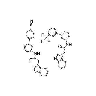 N#Cc1ccc(-c2cccc(NC(=O)Cn3cnc4ccccc43)c2)cc1.O=C(Cn1cnc2ccccc21)Nc1cccc(-c2cccc(C(F)(F)F)c2)c1